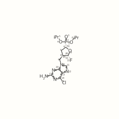 CC(C)OP(=O)(OC(C)C)[C@H]1C[C@H](Cn2cnc3c(Cl)nc(N)nc32)[C@@H](F)O1